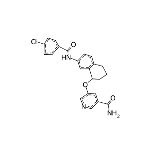 NC(=O)c1cncc(OC2CCCc3ccc(NC(=O)c4ccc(Cl)cc4)cc32)c1